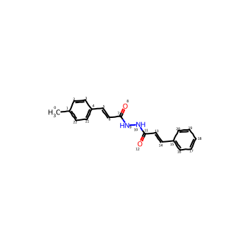 Cc1ccc(/C=C/C(=O)NNC(=O)/C=C/c2ccccc2)cc1